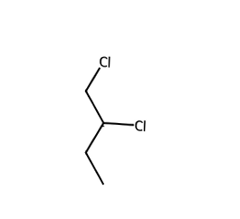 CC[C](Cl)CCl